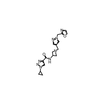 O=C(NC1CN(Cc2cnn(Cc3ncco3)c2)C1)c1cn(C2CC2)nn1